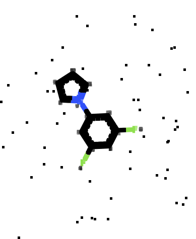 Fc1cc(F)cc(-n2cccc2)c1